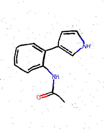 CC(=O)Nc1ccccc1-c1cc[nH]c1